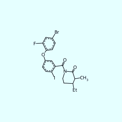 CCC1CCN(C(=O)c2cc(Oc3ccc(Br)cc3F)ccc2I)C(=O)C1C